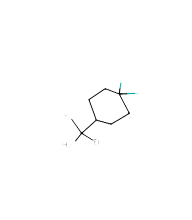 CCC(C)(CC)C1CCC(F)(F)CC1